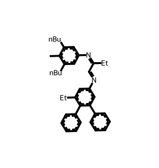 CCCCc1cc(N=C(C=Nc2cc(CC)c(-c3ccccc3)c(-c3ccccc3)c2)CC)cc(CCCC)c1C